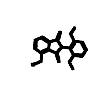 CCc1cccc(CC)c1N1C(=O)c2cccc(CCl)c2C1=O